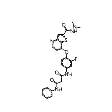 CN(C)NC(=O)c1cc2nccc(Oc3ccc(NC(=O)CC(=O)Nc4ccccc4)cc3F)c2s1